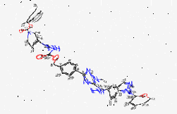 Cn1nc(-c2ccc(COC(=O)NC3CCN(C(=O)OC(C)(C)C)C3)cc2)nc1Nc1ccc2c(cnn2C2CCCCO2)c1